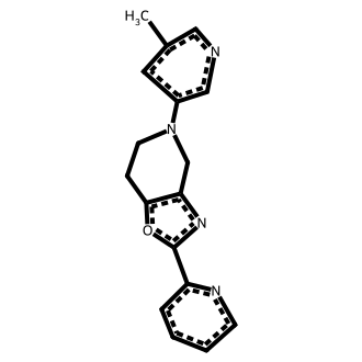 Cc1cncc(N2CCc3oc(-c4ccccn4)nc3C2)c1